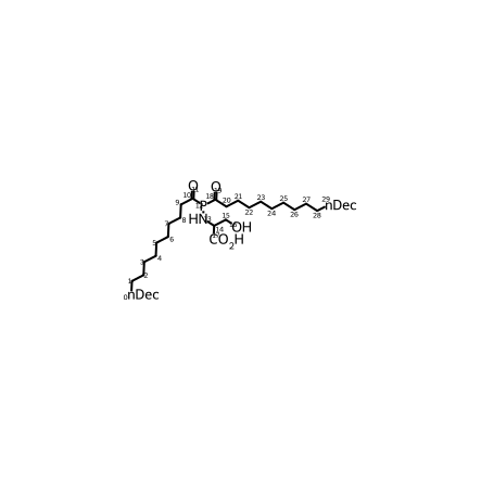 CCCCCCCCCCCCCCCCCCCC(=O)P(NC(CO)C(=O)O)C(=O)CCCCCCCCCCCCCCCCCCC